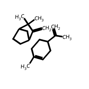 C=C(C)C1CC=C(C)CC1.C=C1C2CCC(C2)C1(C)C